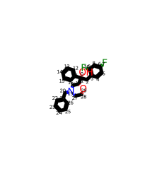 OC(Cc1ccc(F)cc1F)(c1ccccc1)C1CN(Cc2ccccc2)CCO1